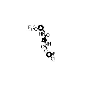 O=C(COc1ccc(Cl)c(F)c1)NC12CC(C1)C(C(=O)NCc1cccc(OC(F)(F)F)c1)C2